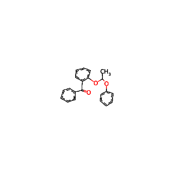 CC(Oc1ccccc1)Oc1ccccc1C(=O)c1ccccc1